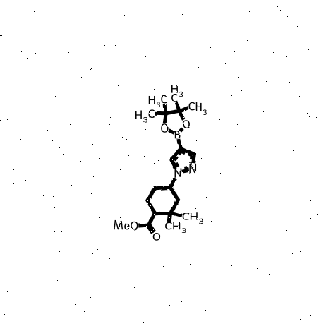 COC(=O)C1CCC(n2cc(B3OC(C)(C)C(C)(C)O3)cn2)CC1(C)C